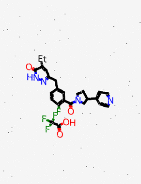 CCc1cc(Cc2ccc(F)c(C(=O)N3CCC(c4ccncc4)C3)c2)n[nH]c1=O.O=C(O)C(F)(F)F